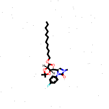 CCCCCCCCCCCCO[C@H]1O[C@H]([C@@H]2CN(C)C(=O)N2c2ccc(F)cc2)[C@@H]2OC(C)(C)O[C@H]12